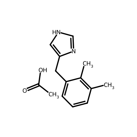 CC(=O)O.Cc1cccc(Cc2c[nH]cn2)c1C